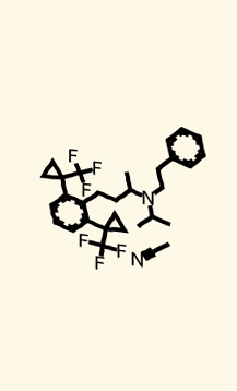 CC#N.CC(C)N(CCc1ccccc1)C(C)CCc1c(C2(C(F)(F)F)CC2)cccc1C1(C(F)(F)F)CC1